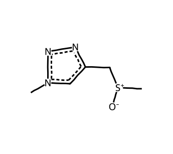 Cn1cc(C[S+](C)[O-])nn1